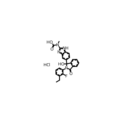 CCc1cccc(N2C(=O)c3ccccc3C2(O)c2ccc3[nH]c(N(C)C(=O)O)nc3c2)c1F.Cl